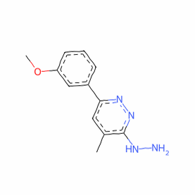 COc1cccc(-c2cc(C)c(NN)nn2)c1